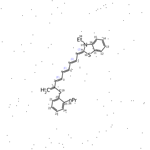 C=C(/C=C/C=C/C=C/C=C1\Sc2ccccc2N1CC)Sc1ccccc1CCC